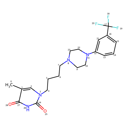 Cc1cn(CCCCN2CCN(c3cccc(C(F)(F)F)c3)CC2)c(=O)[nH]c1=O